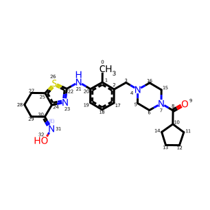 Cc1c(CN2CCN(C(=O)C3CCCC3)CC2)cccc1Nc1nc2c(s1)CCC/C2=N\O